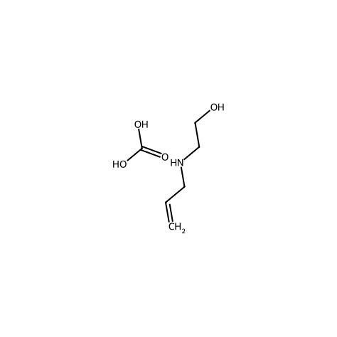 C=CCNCCO.O=C(O)O